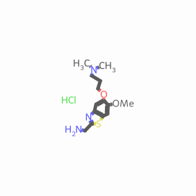 COc1cc2sc(CN)nc2cc1OCCCN(C)C.Cl